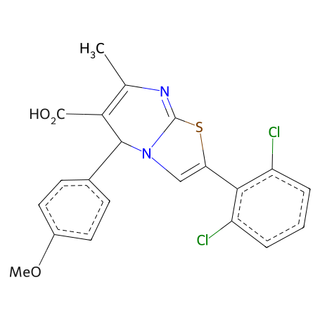 COc1ccc(C2C(C(=O)O)=C(C)N=C3SC(c4c(Cl)cccc4Cl)=CN32)cc1